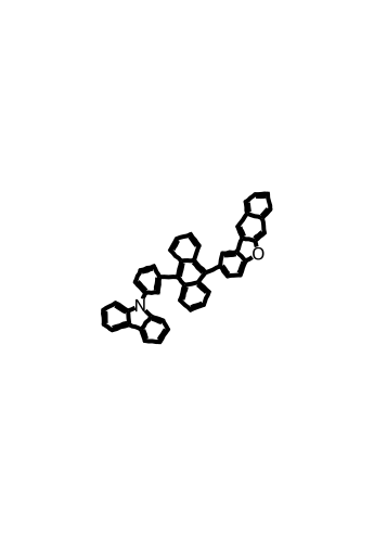 c1cc(-c2c3ccccc3c(-c3ccc4oc5cc6ccccc6cc5c4c3)c3ccccc23)cc(-n2c3ccccc3c3ccccc32)c1